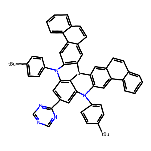 CC(C)(C)c1ccc(N2c3cc4c(ccc5ccccc54)cc3B3c4cc5ccc6ccccc6c5cc4N(c4ccc(C(C)(C)C)cc4)c4cc(-c5ncncn5)cc2c43)cc1